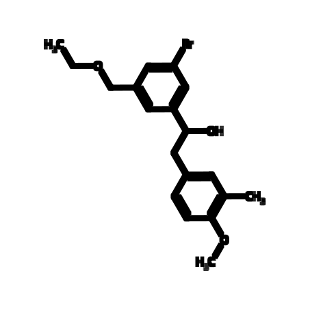 CCOCc1cc(Br)cc(C(O)Cc2ccc(OC)c(C)c2)c1